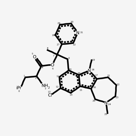 CC(C)CC(N)C(=O)OC(C)(Cc1cc(Cl)cc2c3c(n(C)c12)CCCN(C)C3)c1cccnc1